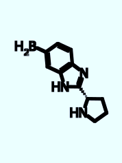 Bc1ccc2nc([C@@H]3CCCN3)[nH]c2c1